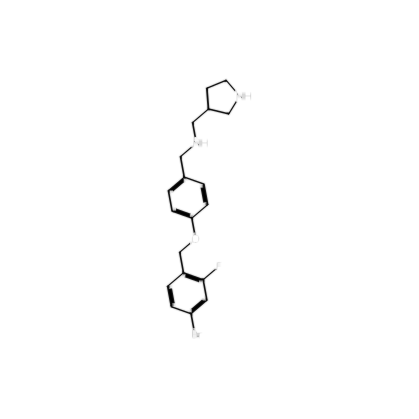 Fc1cc(Br)ccc1COc1ccc(CNCC2CCNC2)cc1